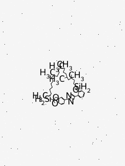 CCCCCC(C)CCCCCCC(C)[SiH2]C1Oc2ccc(-c3ncc(-c4ccccc4O[SiH2]CCC(C)CC(C)CCCC)cn3)cc2O1